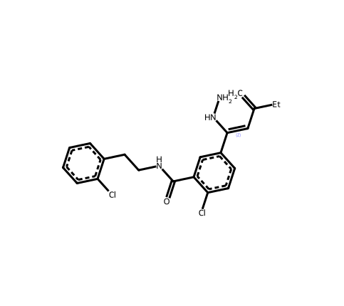 C=C(/C=C(\NN)c1ccc(Cl)c(C(=O)NCCc2ccccc2Cl)c1)CC